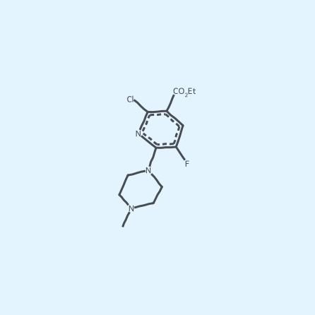 CCOC(=O)c1cc(F)c(N2CCN(C)CC2)nc1Cl